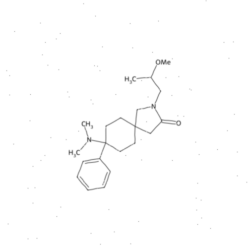 COC(C)CN1CC2(CCC(c3ccccc3)(N(C)C)CC2)CC1=O